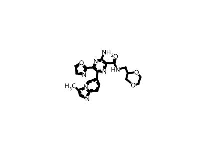 Cc1cnc2ccc(-c3nc(C(=O)NCC4COCCO4)c(N)nc3-c3ncco3)cn12